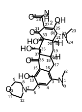 CN(C)c1cc(CN2CCOCC2)c(O)c2c1C[C@@H]1C[C@H]3[C@@H](N(C)C)C(O)=C(C(N)=O)C(=O)[C@@]3(O)C(O)=C1C2=O